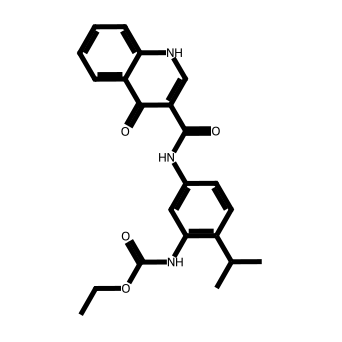 CCOC(=O)Nc1cc(NC(=O)c2c[nH]c3ccccc3c2=O)ccc1C(C)C